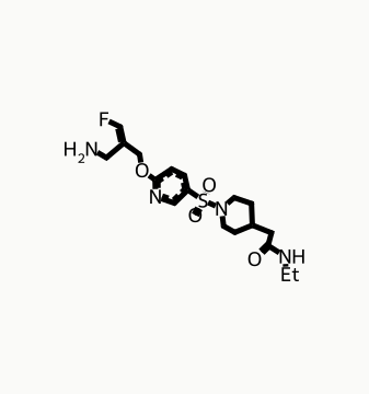 CCNC(=O)CC1CCN(S(=O)(=O)c2ccc(OC/C(=C/F)CN)nc2)CC1